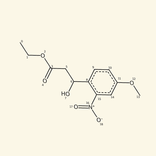 CCOC(=O)CC(O)c1ccc(OC)cc1[N+](=O)[O-]